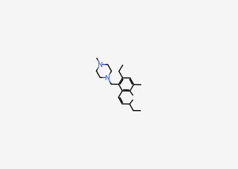 CCc1cc(C)c(C)c(/C=C\C(C)CC)c1CN1CCN(C)CC1